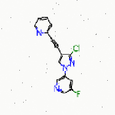 Fc1cncc(-n2cc(C#Cc3ccccn3)c(Cl)n2)c1